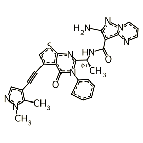 Cc1c(C#Cc2csc3nc([C@H](C)NC(=O)c4c(N)nn5cccnc45)n(-c4ccccc4)c(=O)c23)cnn1C